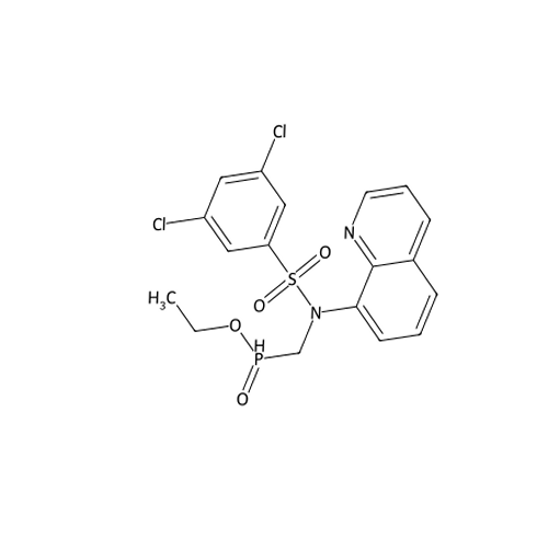 CCO[PH](=O)CN(c1cccc2cccnc12)S(=O)(=O)c1cc(Cl)cc(Cl)c1